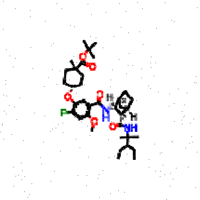 CCC(CC)C(C)(C)NC(=O)[C@H]1[C@@H]2CC[C@@H](C2)[C@H]1NC(=O)c1cc(O[C@H]2CC[C@@](C)(C(=O)OC(C)(C)C)CC2)c(F)cc1OC